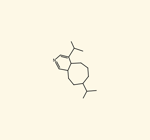 CC(C)C1=CN=CC2CCC(C(C)C)CCCC12